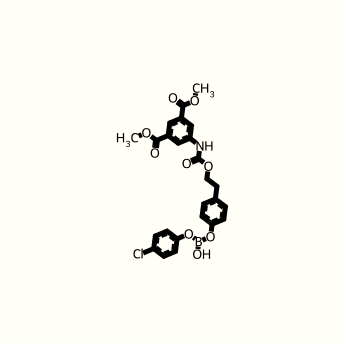 COC(=O)c1cc(NC(=O)OCCc2ccc(OB(O)Oc3ccc(Cl)cc3)cc2)cc(C(=O)OC)c1